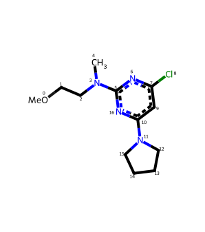 COCCN(C)c1nc(Cl)cc(N2CCCC2)n1